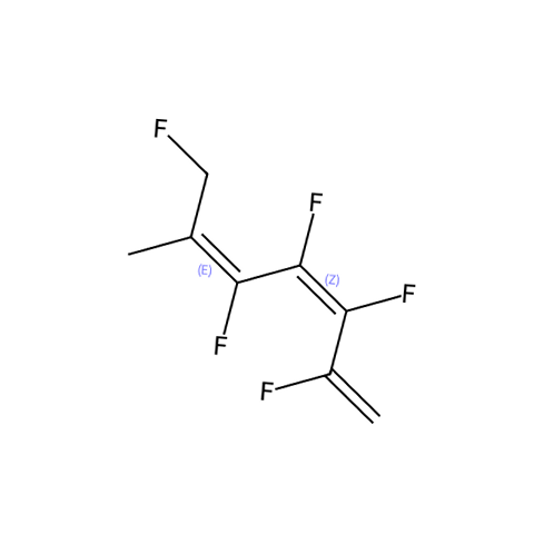 C=C(F)/C(F)=C(F)\C(F)=C(\C)CF